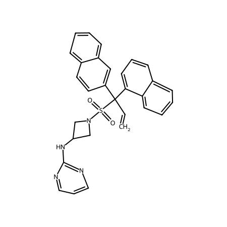 C=CC(c1ccc2ccccc2c1)(c1cccc2ccccc12)S(=O)(=O)N1CC(Nc2ncccn2)C1